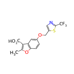 Cc1oc2ccc(OCc3cnc(C(F)(F)F)s3)cc2c1C(=O)O